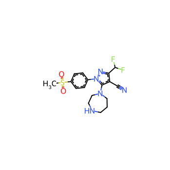 CS(=O)(=O)c1ccc(-n2nc(C(F)F)c(C#N)c2N2CCCNCC2)cc1